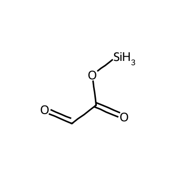 O=CC(=O)O[SiH3]